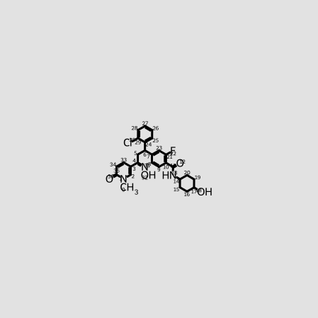 Cn1cc(C(CC(c2ccc(C(=O)NC3CCC(O)CC3)c(F)c2)c2ccccc2Cl)=NO)ccc1=O